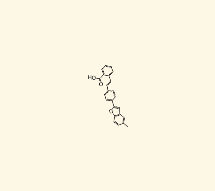 Cc1ccc2oc(-c3ccc(C=Cc4ccccc4C(=O)O)cc3)cc2c1